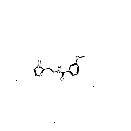 COc1cccc(C(=O)NCCc2ncc[nH]2)c1